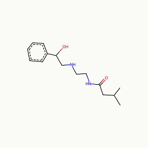 CC(C)CC(=O)NCCNCC(O)c1ccccc1